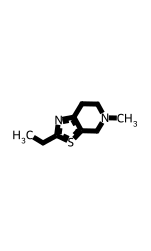 CCc1nc2c(s1)CN(C)CC2